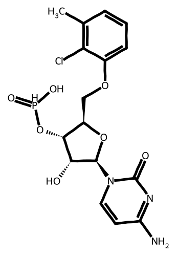 Cc1cccc(OC[C@H]2O[C@@H](n3ccc(N)nc3=O)[C@H](O)[C@@H]2O[PH](=O)O)c1Cl